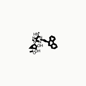 CNc1nc(C#Cc2cc3ccccc3c3ccccc23)nc2c1ncn2[C@@H]1C2C[C@]2(C(C)=O)C(O)[C@H]1O